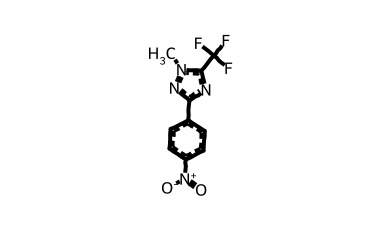 Cn1nc(-c2ccc([N+](=O)[O-])cc2)nc1C(F)(F)F